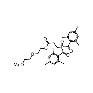 COCCOCCOC(=O)CCP(=O)(C(=O)c1c(C)cc(C)cc1C)C(=O)c1c(C)cc(C)cc1C